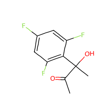 CC(=O)C(C)(O)c1c(F)cc(F)cc1F